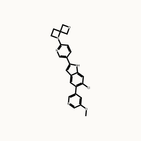 COc1cncc(-c2cc3cc(-c4ccc(N5CCC56COC6)nc4)[nH]c3cc2Cl)c1